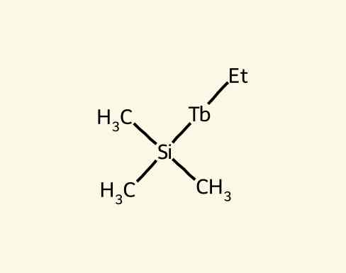 C[CH2][Tb][Si](C)(C)C